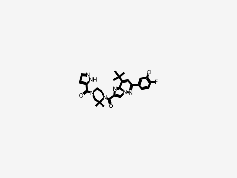 CC(C)(C)c1cc(-c2ccc(F)c(Cl)c2)nn2cc(C(=O)N3CCN(C(=O)c4ccn[nH]4)CC3(C)C)nc12